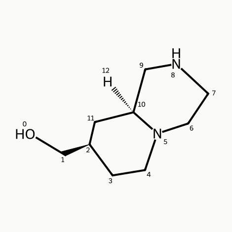 OC[C@@H]1CCN2CCNC[C@@H]2C1